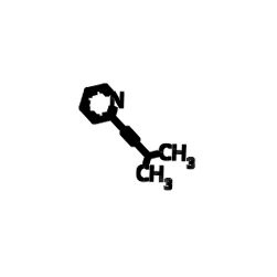 CC(C)C#Cc1ccccn1